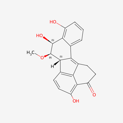 CO[C@@H]1[C@@H]2C(=C3CCC(=O)c4c(O)ccc2c43)c2cccc(O)c2[C@@H]1O